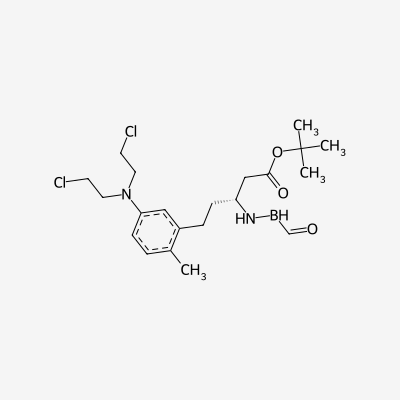 Cc1ccc(N(CCCl)CCCl)cc1CC[C@H](CC(=O)OC(C)(C)C)NBC=O